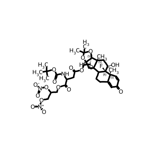 CC(C)(C)OC(=O)NC(CC(=O)OCC(=O)[C@@]12OC(C)(C)O[C@@H]1CC1C3CCC4=CC(=O)C=C[C@]4(C)[C@@]3(F)[C@@H](O)C[C@@]12C)C(=O)OCC(CO[N+](=O)[O-])O[N+](=O)[O-]